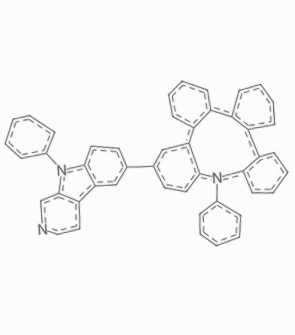 c1ccc(-n2c3ccccc3c3ccccc3c3ccccc3c3cc(-c4ccc5c(c4)c4ccncc4n5-c4ccccc4)ccc32)cc1